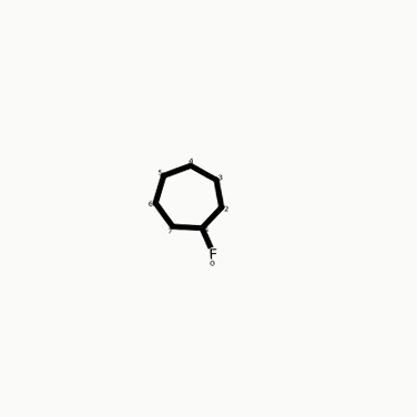 FC1CCCCCC1